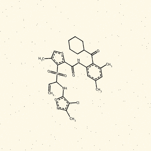 C=CC(Nc1onc(C)c1Cl)S(=O)(=O)c1c(C)csc1C(=O)Nc1cc(C)cc(C)c1C(=O)C1CCCCC1